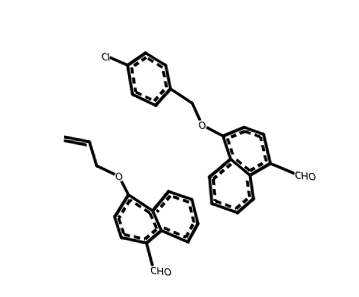 C=CCOc1ccc(C=O)c2ccccc12.O=Cc1ccc(OCc2ccc(Cl)cc2)c2ccccc12